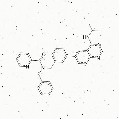 CC(C)Nc1ncnc2ccc(-c3cccc(CN(Cc4ccccc4)C(=O)c4ccccn4)c3)cc12